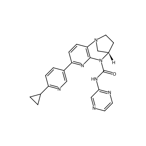 O=C(Nc1cnccn1)N1c2nc(-c3ccc(C4CC4)nc3)ccc2N2CC[C@H]1C2